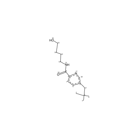 CC(C)(C)Cc1ccc(C(=O)NCCCCO)nc1